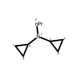 [CH2]CCN(C1CC1)C1CC1